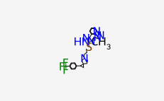 CN1C(c2cccn3cnnc23)=NNC1SCCCN1CCC2(CC2c2ccc(C(F)(F)F)cc2)C1